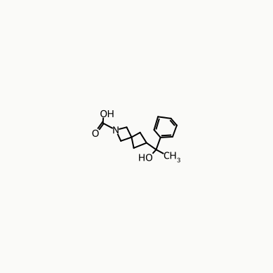 CC(O)(c1ccccc1)C1CC2(C1)CN(C(=O)O)C2